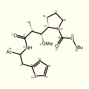 CO[C@H]([C@@H](C)C(=O)NC(Cc1cccs1)C(C)=O)[C@@H]1CCCN1C(=O)OC(C)(C)C